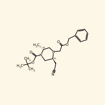 C[C@@H]1CN(CC(=O)OCc2ccccc2)[C@@H](CC#N)CN1C(=O)OC(C)(C)C